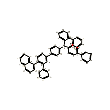 c1ccc(-c2ccc(N(c3ccc(-c4ccc(-c5cccc6ccccc56)c(-c5ccccc5)c4)cc3)c3ccccc3-c3ccccc3)cc2)cc1